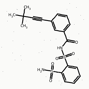 CC(C)(C)C#Cc1cccc(C(=O)NS(=O)(=O)c2ccccc2S(N)(=O)=O)c1